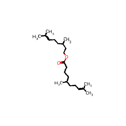 CC(C)=CCCC(C)CCCC(=O)OCCC(C)CCC=C(C)C